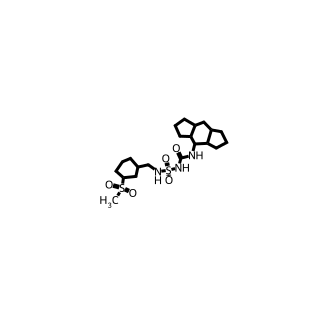 CS(=O)(=O)C1CCCC(CNS(=O)(=O)NC(=O)NC2C3CCCC3CC3CCCC32)C1